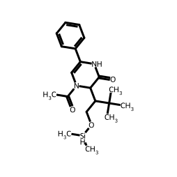 CC(=O)N1C=C(c2ccccc2)NC(=O)C1C(CO[SiH](C)C)C(C)(C)C